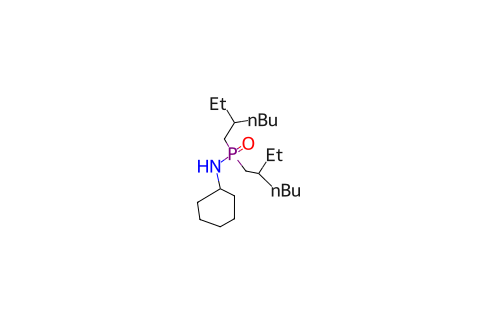 CCCCC(CC)CP(=O)(CC(CC)CCCC)NC1CCCCC1